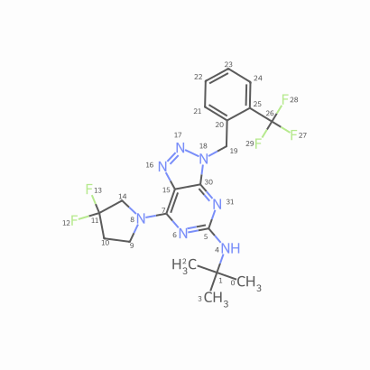 CC(C)(C)Nc1nc(N2CCC(F)(F)C2)c2nnn(Cc3ccccc3C(F)(F)F)c2n1